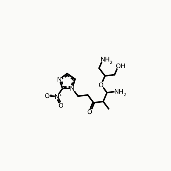 CC(C(=O)CCn1ccnc1[N+](=O)[O-])C(N)OC(CN)CO